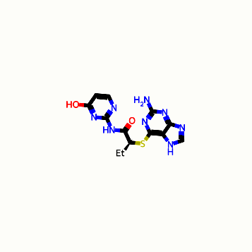 CC[C@H](Sc1nc(N)nc2nc[nH]c12)C(=O)Nc1nccc(O)n1